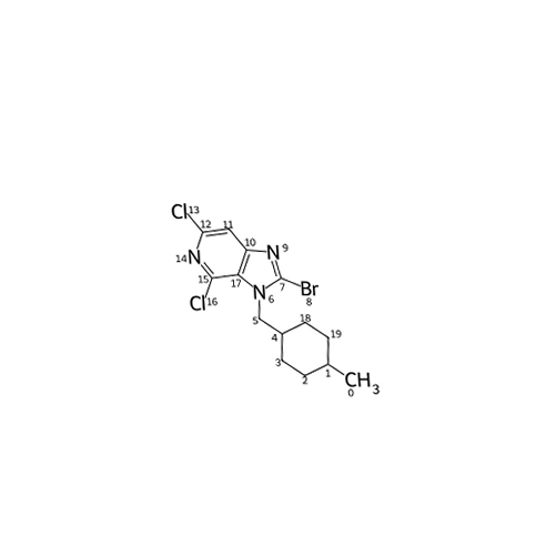 CC1CCC(Cn2c(Br)nc3cc(Cl)nc(Cl)c32)CC1